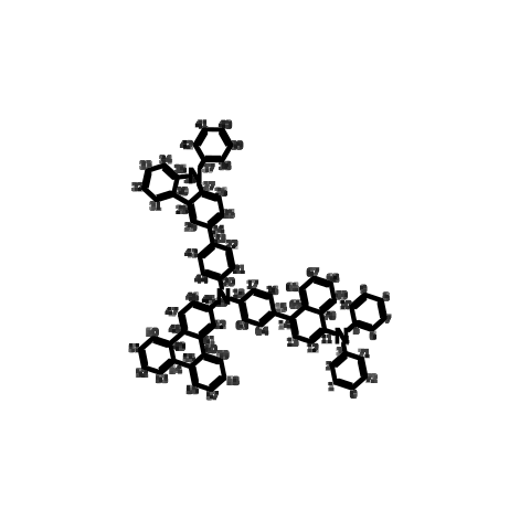 c1ccc(N(c2ccccc2)c2ccc(-c3ccc(N(c4ccc(-c5ccc6c(c5)c5ccccc5n6-c5ccccc5)cc4)c4ccc5c6ccccc6c6ccccc6c5c4)cc3)c3ccccc23)cc1